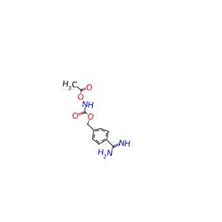 CC(=O)ONC(=O)OCc1ccc(C(=N)N)cc1